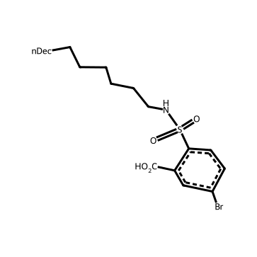 CCCCCCCCCCCCCCCCNS(=O)(=O)c1ccc(Br)cc1C(=O)O